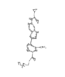 CCCC(=O)c1ncc(-c2cnc3cc(NC(=O)C4CC4)ncc3c2)c(C)n1